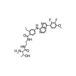 CCc1cc(Nc2nccn3c(-c4ccc(OC)c(F)c4F)cnc23)ccc1C(=O)NCCNC(=O)C(N)C(C)O